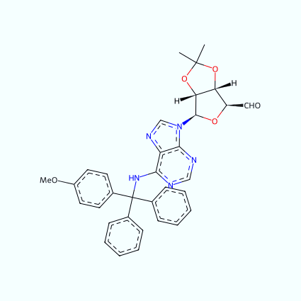 COc1ccc(C(Nc2ncnc3c2ncn3[C@@H]2O[C@H](C=O)[C@H]3OC(C)(C)O[C@H]32)(c2ccccc2)c2ccccc2)cc1